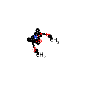 C=Cc1ccc(OCCCCCCC2(c3ccccc3)c3ccccc3-c3ccc(N(c4ccc5c(c4)C(CCCCCCOc4ccc(C=C)cc4)(c4ccccc4)c4ccccc4-5)c4ccc5oc6ccccc6c5c4)cc32)cc1